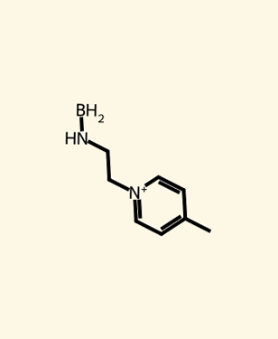 BNCC[n+]1ccc(C)cc1